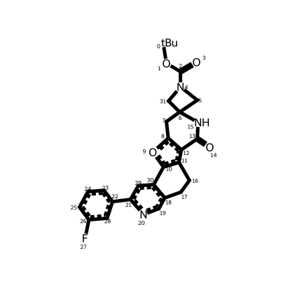 CC(C)(C)OC(=O)N1CC2(Cc3oc4c(c3C(=O)N2)CCc2cnc(-c3cccc(F)c3)cc2-4)C1